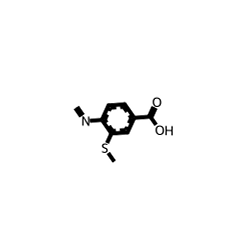 C=Nc1ccc(C(=O)O)cc1SC